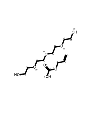 C=CCOC(=O)O.OCCOCCOCCOCCO